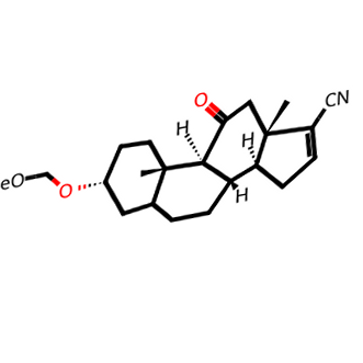 COCO[C@@H]1CC[C@@]2(C)C(CC[C@@H]3[C@@H]2C(=O)C[C@]2(C)C(C#N)=CC[C@@H]32)C1